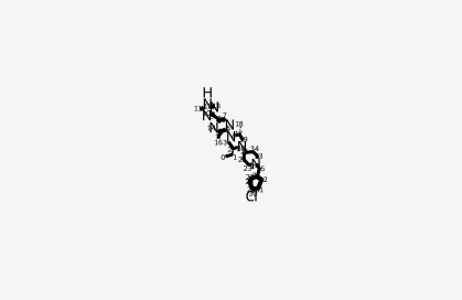 CC[C@H]1CN(c2ncc(-c3nc[nH]n3)nc2C)[C@H](C)CN1C1CCN(Cc2ccc(Cl)cc2)CC1